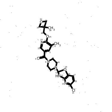 Cc1cc(C(=O)N2CCN(C3Nc4nc(Cl)ccc4O3)CC2)cnc1OCC1(C)COC1